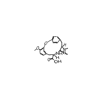 C=C=C1N[C@H](C(=O)O)Cc2ccc(OC)c(c2)Oc2ccc(cc2)C[C@@H]1NC